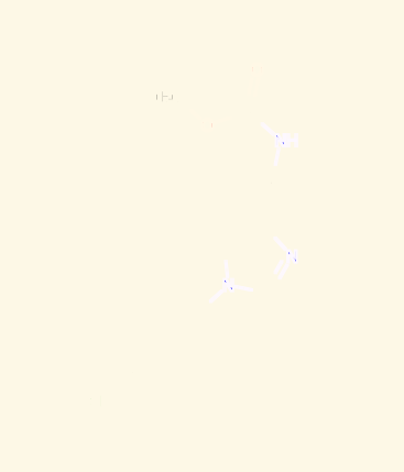 CC(C)(C)OC(=O)NC(C)(C)c1cn(-c2ccc(Cl)cc2)cn1